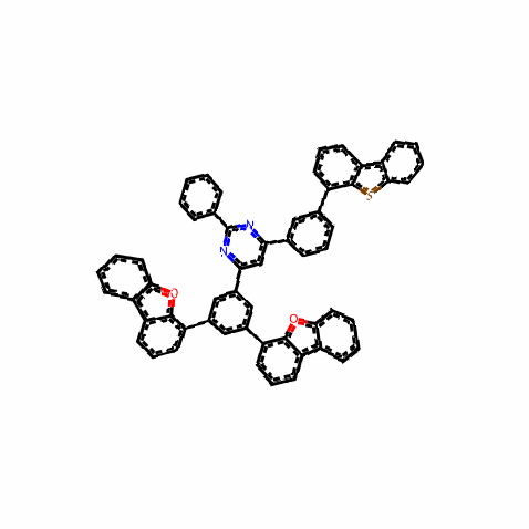 c1ccc(-c2nc(-c3cc(-c4cccc5c4oc4ccccc45)cc(-c4cccc5c4oc4ccccc45)c3)cc(-c3cccc(-c4cccc5c4sc4ccccc45)c3)n2)cc1